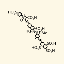 COc1cc(/N=N/c2cc(S(=O)(=O)O)c3cc(S(=O)(=O)O)cc(S(=O)(=O)O)c3c2)c(C)cc1NNc1c(S(=O)(=O)O)cc2cc(/N=N/C3C(=O)N(c4ccc(S(=O)(=O)O)cc4)N=C3C(=O)O)ccc2c1O